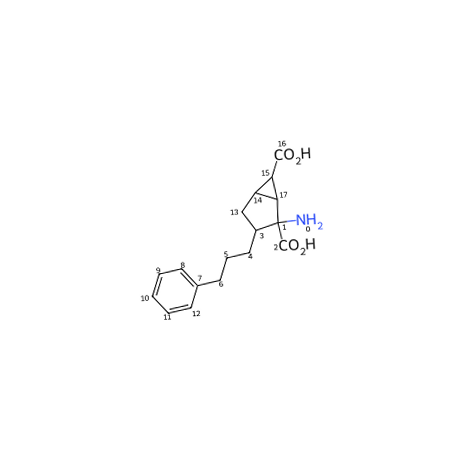 NC1(C(=O)O)C(CCCc2ccccc2)CC2C(C(=O)O)C21